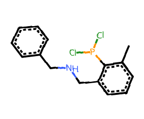 Cc1cccc(CNCc2ccccc2)c1P(Cl)Cl